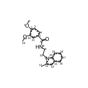 COc1ccc(C(=O)NCCn2c(C)cc3ccccc32)cc1OC